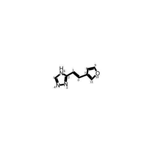 C(=Cc1nnc[nH]1)c1ccoc1